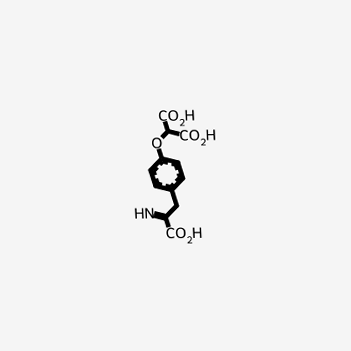 N=C(Cc1ccc(OC(C(=O)O)C(=O)O)cc1)C(=O)O